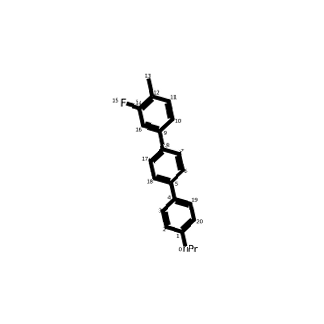 CCCc1ccc(-c2ccc(-c3ccc(C)c(F)c3)cc2)cc1